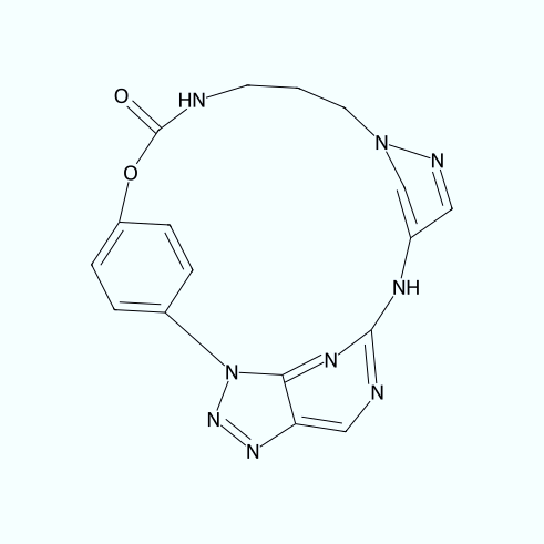 O=C1NCCCn2cc(cn2)Nc2ncc3nnn(c3n2)-c2ccc(cc2)O1